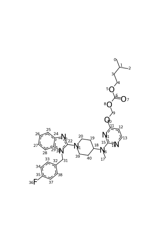 CC(C)CCOC(=O)OCOc1ccnc(N(C)C2CCN(c3nc4ccccc4n3Cc3ccc(F)cc3)CC2)n1